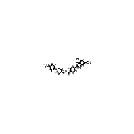 CC(C)c1cc(C#N)cc2nc(-c3ccc(C(F)CCC4CCN(c5ccc(C(F)(F)F)cn5)CC4)cc3)oc12